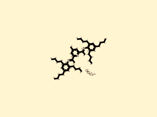 CCCCc1cc(CCCC)c(N=C(C)c2cc(C)cc(C(C)=Nc3c(CCCC)cc(CCCC)cc3CCCC)n2)c(CCCC)c1.[Cl-].[Cl-].[Co+2]